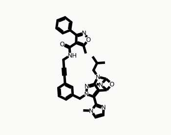 Cc1onc(-c2ccccc2)c1C(=O)NCC#Cc1cccc(Cn2nc3c(c2-c2nccn2C)C2OC(N3CC(C)C)N2C)c1